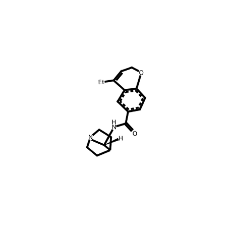 CCC1=CCOc2ccc(C(=O)N[C@H]3CN4CCC3CC4)cc21